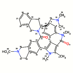 Cc1c(C(=O)N(C)c2ccccc2)cc(-c2cc3c(cc2C(=O)N2Cc4ccccc4C[C@H]2CCN(C)C)CN(C(=O)O)CC3)n1C